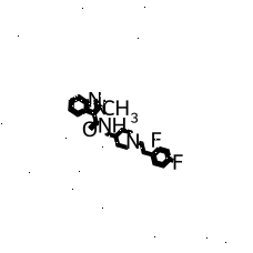 Cn1nc2ccccc2c1C(=O)NCC1CCN(CCc2ccc(F)cc2F)CC1